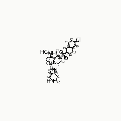 CC1Cc2nc(C(=O)N3CCN(S(=O)(=O)c4ccc5cc(Cl)ccc5c4)C(C)C3C(N)=O)sc2CN1.Cl